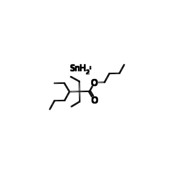 CCCCOC(=O)C(CC)(CC)C(CC)CCC.[SnH2]